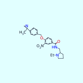 CCN1CCCC1CNC(=O)c1ccc(OCc2ccc(C3(C)C=N3)cc2)c([N+](=O)[O-])c1